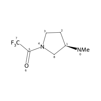 CN[C@@H]1CCN(C(=O)C(F)(F)F)C1